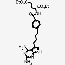 CCOC(=O)CC[C@@H](NC(=O)c1ccc(CCCCc2c[nH]c3nc(N)nc(N)c23)cc1)C(=O)OCC